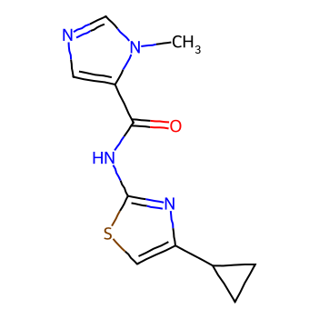 Cn1cncc1C(=O)Nc1nc(C2CC2)cs1